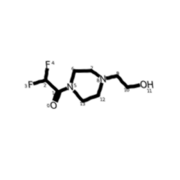 O=C(C(F)F)N1CCN(CCO)CC1